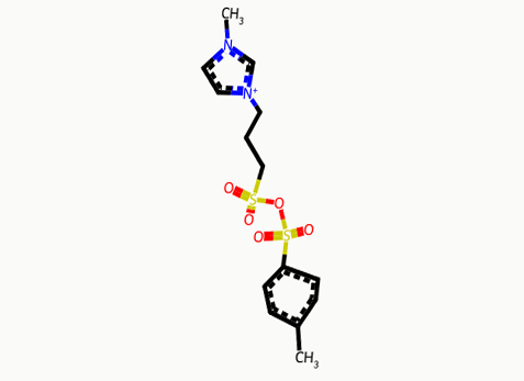 Cc1ccc(S(=O)(=O)OS(=O)(=O)CCC[n+]2ccn(C)c2)cc1